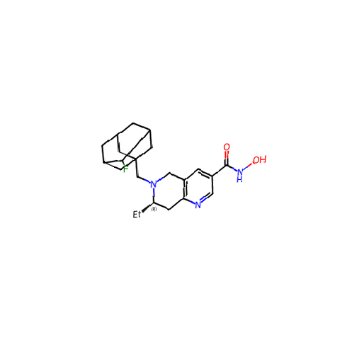 CC[C@@H]1Cc2ncc(C(=O)NO)cc2CN1CC12CC3CC(C1)C(F)C(C3)C2